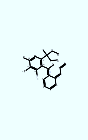 C=C/C=c1/cccc/c1=C(/C)c1c(C(C)(CC)CC)cc(C)c(F)c1F